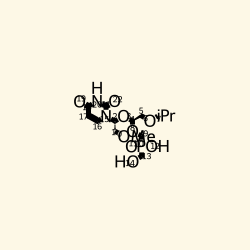 COC[C@@H](O[C@@H](COC(C)C)OCP(=O)(O)CO)n1ccc(=O)[nH]c1=O